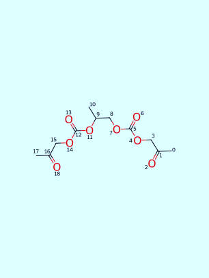 CC(=O)COC(=O)OCC(C)OC(=O)OCC(C)=O